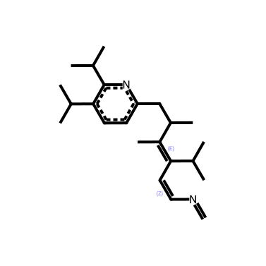 C=N/C=C\C(=C(/C)C(C)Cc1ccc(C(C)C)c(C(C)C)n1)C(C)C